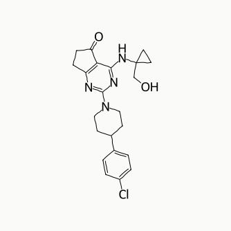 O=C1CCc2nc(N3CCC(c4ccc(Cl)cc4)CC3)nc(NC3(CO)CC3)c21